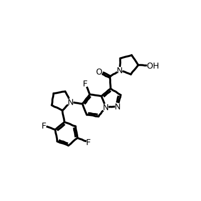 O=C(c1cnn2ccc(N3CCCC3c3cc(F)ccc3F)c(F)c12)N1CCC(O)C1